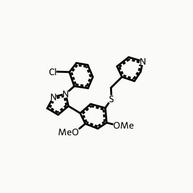 COc1cc(OC)c(-c2ccnn2-c2ccccc2Cl)cc1SCc1ccncc1